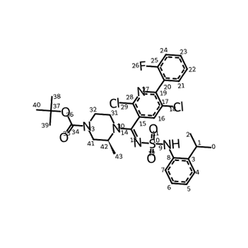 CC(C)c1ccccc1NS(=O)(=O)N=C(c1cc(Cl)c(-c2ccccc2F)nc1Cl)N1CCN(C(=O)OC(C)(C)C)C[C@@H]1C